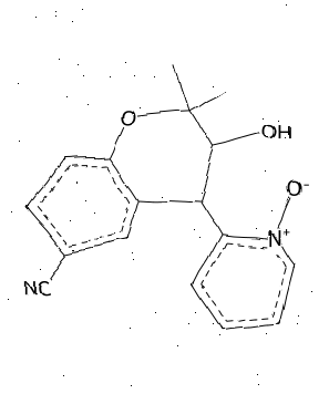 CC1(C)Oc2ccc(C#N)cc2C(c2cccc[n+]2[O-])C1O